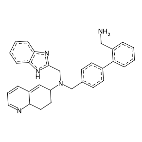 NCc1ccccc1-c1ccc(CN(Cc2nc3ccccc3[nH]2)C2C=C3C=CC=NC3CC2)cc1